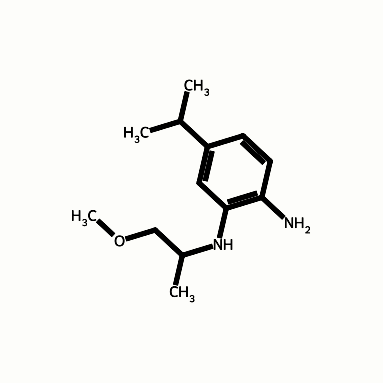 COCC(C)Nc1cc(C(C)C)ccc1N